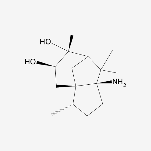 C[C@H]1CC[C@@]2(N)C(C)(C)C3C[C@@]12C[C@@H](O)[C@]3(C)O